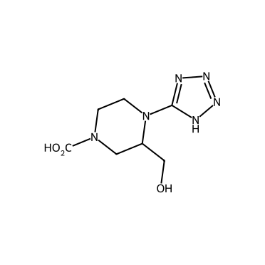 O=C(O)N1CCN(c2nnn[nH]2)C(CO)C1